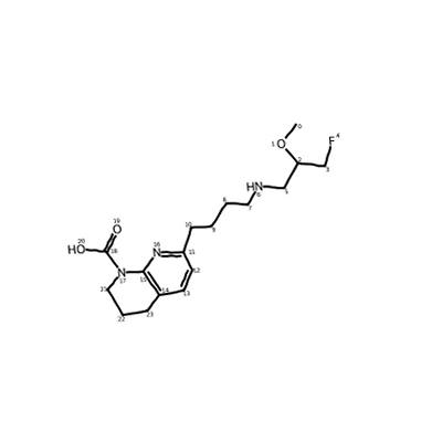 COC(CF)CNCCCCc1ccc2c(n1)N(C(=O)O)CCC2